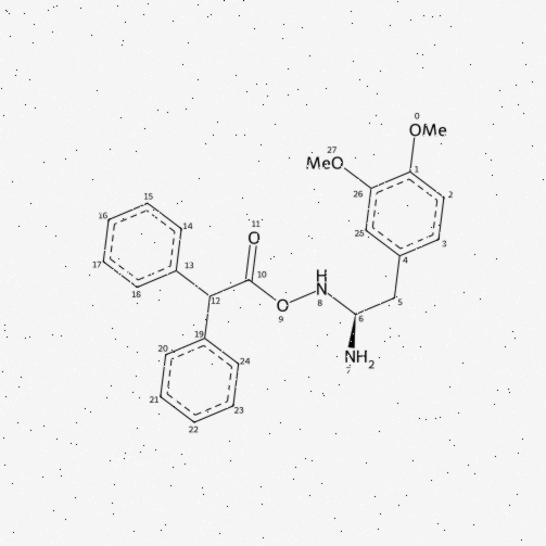 COc1ccc(C[C@@H](N)NOC(=O)C(c2ccccc2)c2ccccc2)cc1OC